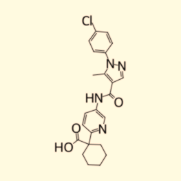 Cc1c(C(=O)Nc2ccc(C3(C(=O)O)CCCCC3)nc2)cnn1-c1ccc(Cl)cc1